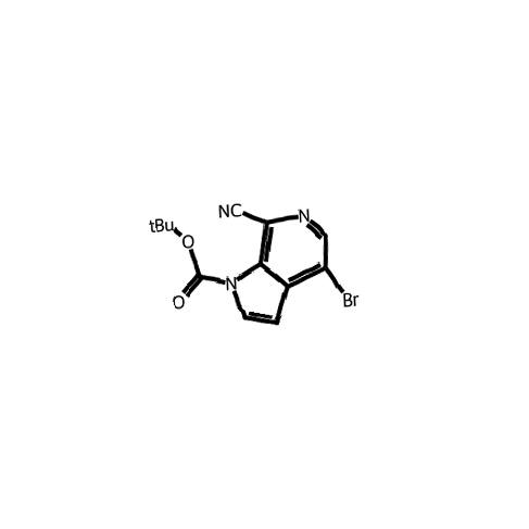 CC(C)(C)OC(=O)n1ccc2c(Br)cnc(C#N)c21